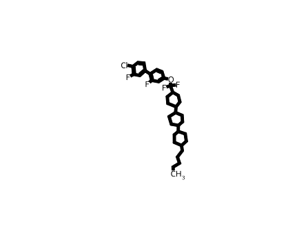 CCCCCC1CCC(C2CCC(C3CCC(C(F)(F)Oc4ccc(-c5ccc(Cl)c(F)c5)c(F)c4)CC3)CC2)CC1